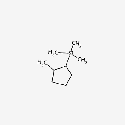 CC1CCCC1[Si](C)(C)C